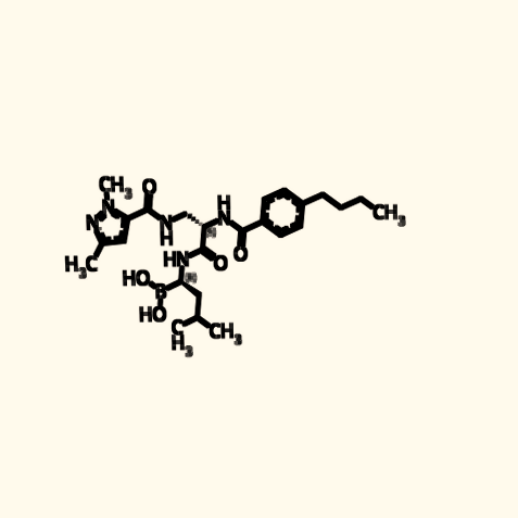 CCCCc1ccc(C(=O)N[C@@H](CNC(=O)c2cc(C)nn2C)C(=O)N[C@@H](CC(C)C)B(O)O)cc1